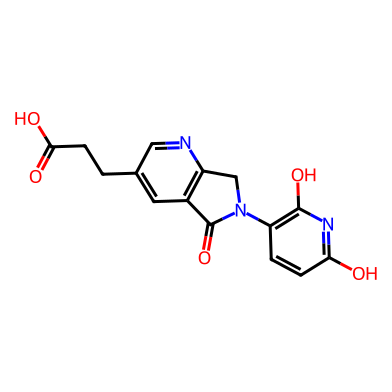 O=C(O)CCc1cnc2c(c1)C(=O)N(c1ccc(O)nc1O)C2